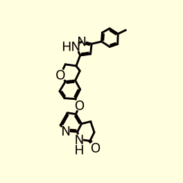 Cc1ccc(-c2cc(C3COc4ccc(Oc5ccnc6c5CCC(=O)N6)cc4C3)[nH]n2)cc1